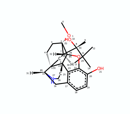 CO[C@@]12CC[C@@]3(C[C@@H]1[C@](C)(O)C(C)(C)C)[C@H]1Cc4ccc(O)c5c4[C@@]3(CCN1)[C@H]2O5